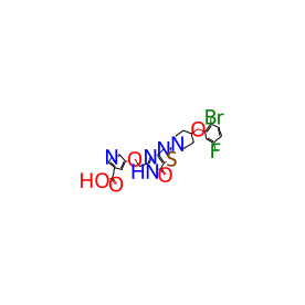 O=C(O)c1cncc(OCc2nc3nc(N4CCC(Oc5cc(F)ccc5Br)CC4)sc3c(=O)[nH]2)c1